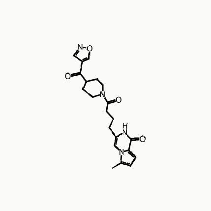 Cc1ccc2c(=O)[nH]c(CCCC(=O)N3CCC(C(=O)c4cnoc4)CC3)cn12